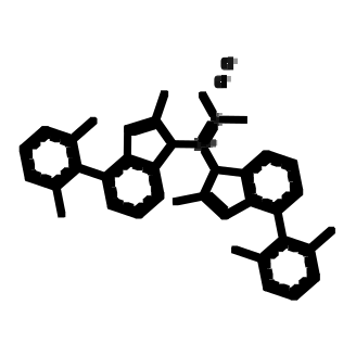 CC1=Cc2c(-c3c(C)cccc3C)cccc2[CH]1[Zr+2]([CH]1C(C)=Cc2c(-c3c(C)cccc3C)cccc21)=[Si](C)C.[Cl-].[Cl-]